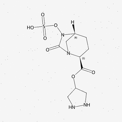 O=C(OC1CNNC1)[C@@H]1CC[C@@H]2CN1C(=O)N2OS(=O)(=O)O